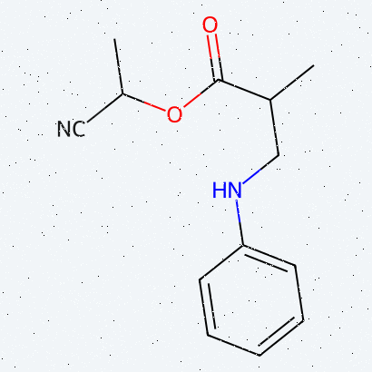 CC(C#N)OC(=O)C(C)CNc1ccccc1